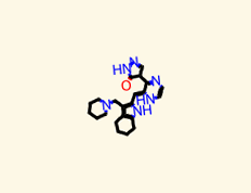 O=C1NN=CC1C1=NC=CNC1=Cc1[nH]c2c(c1CN1CCCCC1)CCCC2